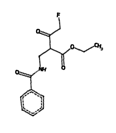 CCOC(=O)C(CNC(=O)c1ccccc1)C(=O)CF